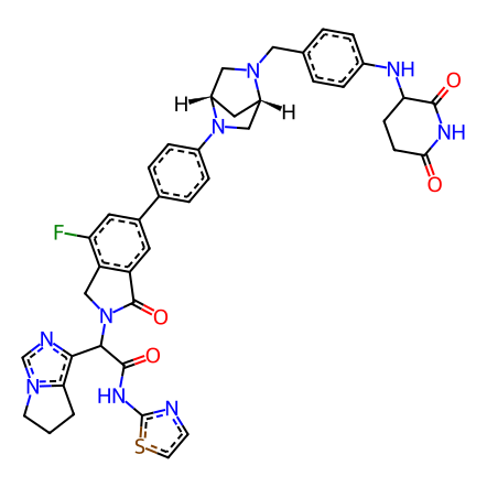 O=C1CCC(Nc2ccc(CN3C[C@@H]4C[C@H]3CN4c3ccc(-c4cc(F)c5c(c4)C(=O)N(C(C(=O)Nc4nccs4)c4ncn6c4CCC6)C5)cc3)cc2)C(=O)N1